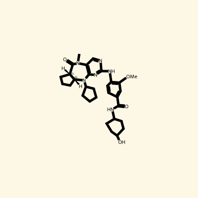 COc1cc(C(=O)NC2CCC(O)CC2)ccc1Nc1ncc2c(n1)N(C1CCCC1)[C@@H]1CCC[C@@H]1C(=O)N2C